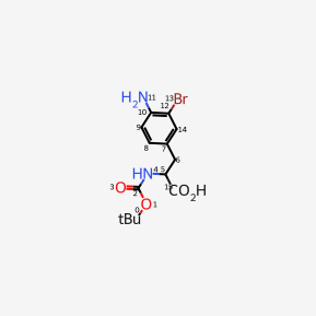 CC(C)(C)OC(=O)NC(Cc1ccc(N)c(Br)c1)C(=O)O